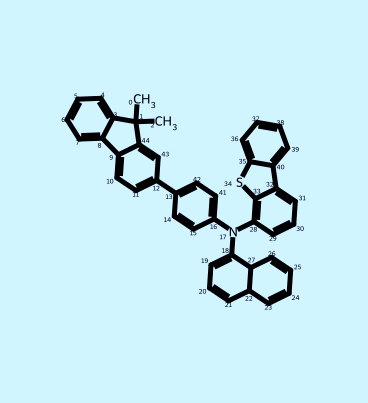 CC1(C)c2ccccc2-c2ccc(-c3ccc(N(C4=CC=CC5C=CC=CC45)c4cccc5c4sc4ccccc45)cc3)cc21